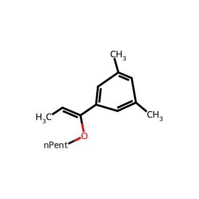 [CH2]CCCCOC(=CC)c1cc(C)cc(C)c1